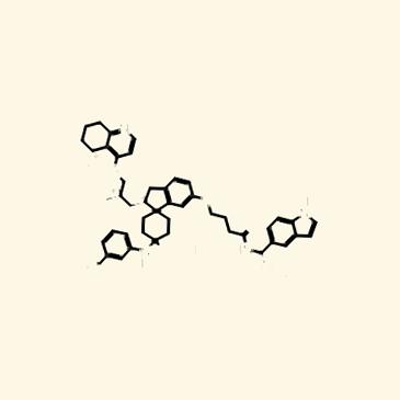 C[C@@H](COc1ccnc2c1[C@H](C)CCC2)C[C@H]1Cc2ccc(OCCCC(=O)N[C@@H](C(=O)O)c3ccc4[nH]ccc4c3)cc2C12CCC(Nc1cccc(Cl)c1)(C(=O)O)CC2